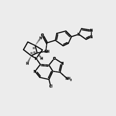 Nc1noc2c(N3C[C@@H]4CC[C@H]3[C@@H]4NC(=O)c3ccc(-n4cnnc4)cc3)ncc(Cl)c12